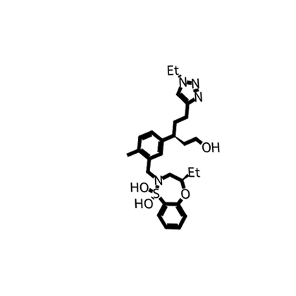 CC[C@@H]1CN(Cc2cc([C@H](CCO)CCc3cn(CC)nn3)ccc2C)S(O)(O)c2ccccc2O1